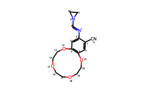 N#Cc1cc2c(cc1/N=C/N1CC1)OCCOCCOCCO2